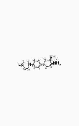 CN1CCN(c2ccc(-c3ccc(N)c(N)c3)cc2)CC1